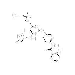 COC1(C)CN(c2cc(Nc3cc(C)n[nH]3)nc(Sc3ccc(NC(=O)c4ccccc4Cl)cc3)n2)C1